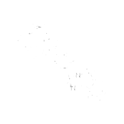 C1=CC23C=CC4=CC=C(c5ccc(-c6cnc7c8ccccc8ccn67)cc5)C5=CCC(=C1)C2C45C3